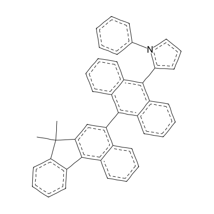 CC1(C)c2ccccc2-c2c1cc(-c1c3ccccc3c(-c3cccn3-c3ccccc3)c3ccccc13)c1ccccc21